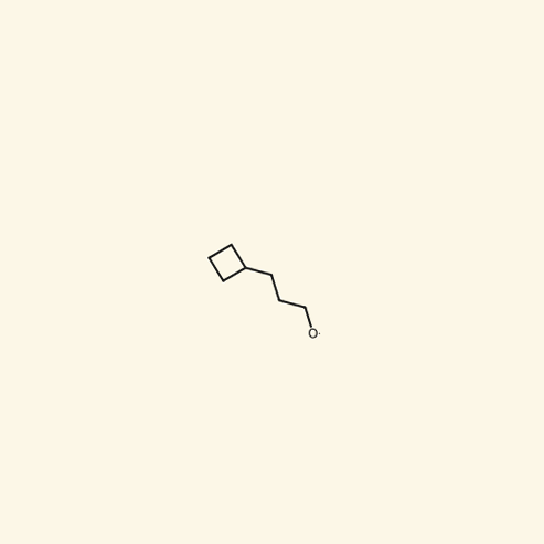 [O]CCCC1CCC1